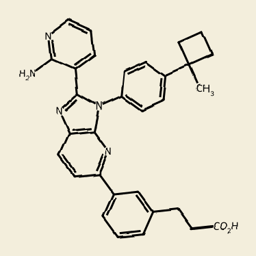 CC1(c2ccc(-n3c(-c4cccnc4N)nc4ccc(-c5cccc(CCC(=O)O)c5)nc43)cc2)CCC1